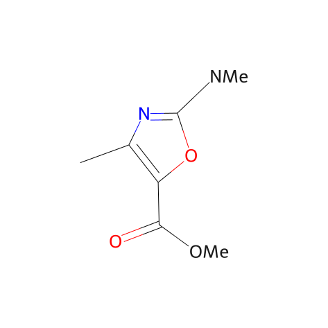 CNc1nc(C)c(C(=O)OC)o1